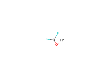 [H+].[O-]B(F)F